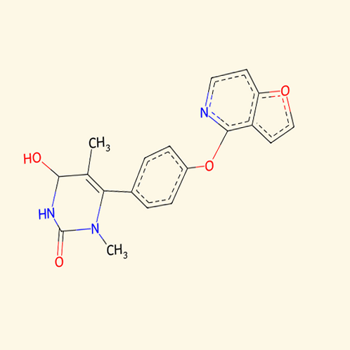 CC1=C(c2ccc(Oc3nccc4occc34)cc2)N(C)C(=O)NC1O